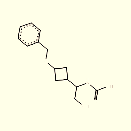 O=C(O)NC(CO)C1CC(OCc2ccccc2)C1